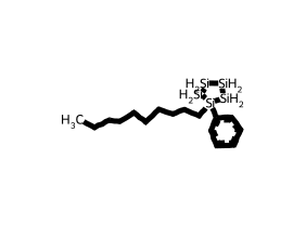 CCCCCCCCCC[Si]1(c2ccccc2)[SiH2][SiH2][SiH2][SiH2]1